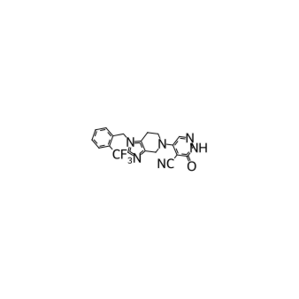 N#Cc1c(N2CCc3c(ncn3Cc3ccccc3C(F)(F)F)C2)cn[nH]c1=O